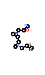 c1cc(-c2ccc3oc4cccnc4c3c2)cc(-n2c3ccccc3c3cc(-c4ccc5c(c4)c4ccccc4n5-c4cccc(-c5ccc6sc7cccnc7c6c5)c4)ccc32)c1